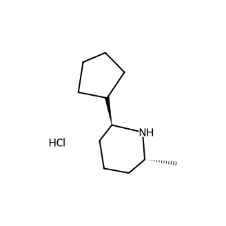 C[C@@H]1CCC[C@@H](C2CCCC2)N1.Cl